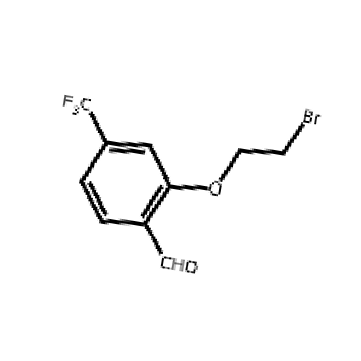 O=Cc1ccc(C(F)(F)F)cc1OCCBr